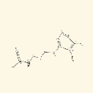 CC(=O)NCCCOc1cc[c]c(C)c1F